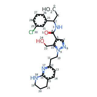 O=C(O)CC(NC(=O)c1cnn(CCc2ccc3c(n2)NCCC3)c1CO)c1cccc(Cl)c1